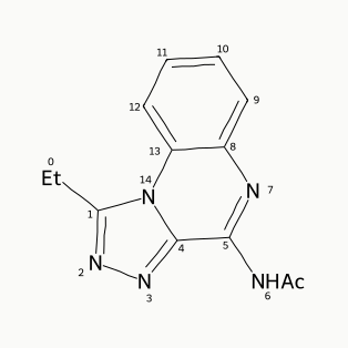 CCc1nnc2c(NC(C)=O)nc3ccccc3n12